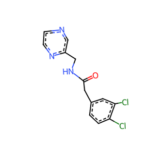 O=C(Cc1ccc(Cl)c(Cl)c1)NCc1cnccn1